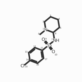 CN1CCCCC1NS(=O)(=O)c1ccc(Cl)cc1